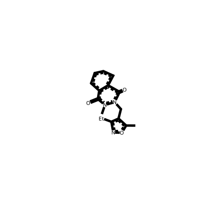 CCc1noc(C)c1Cn1c(=O)c2ccccc2c(=O)n1C